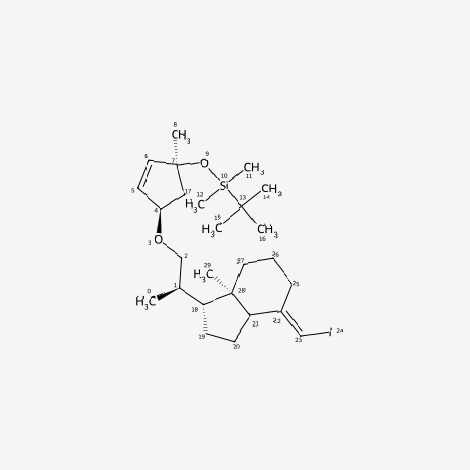 C[C@@H](CO[C@H]1C=C[C@@](C)(O[Si](C)(C)C(C)(C)C)C1)[C@H]1CCC2C(=CI)CCC[C@@]21C